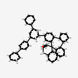 c1ccc(-c2cc(-c3ccc(-c4cccnc4)cc3)nc(-c3ccc4c(c3)C3(c5ccccc5Sc5ccccc53)c3ccccc3-c3ccccc3-4)n2)cc1